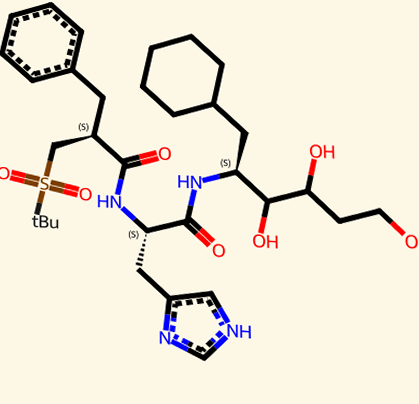 CC(C)(C)S(=O)(=O)C[C@@H](Cc1ccccc1)C(=O)N[C@@H](Cc1c[nH]cn1)C(=O)N[C@@H](CC1CCCCC1)C(O)C(O)CCO